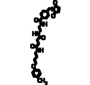 Cc1ccc(OCCCCNC(=O)CCC(=O)NCCNC(=O)C2CCC(CN3C(=O)C=CC3=O)CC2)cc1